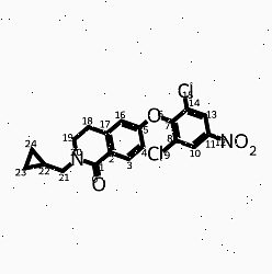 O=C1c2ccc(Oc3c(Cl)cc([N+](=O)[O-])cc3Cl)cc2CCN1CC1CC1